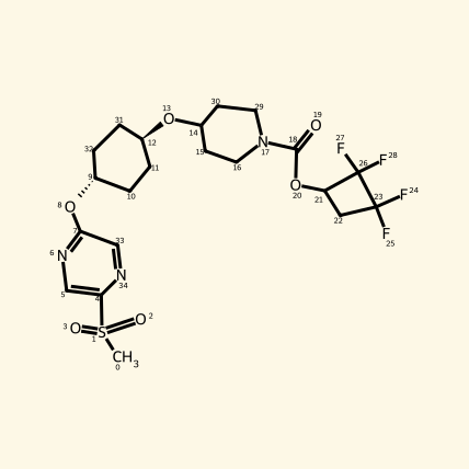 CS(=O)(=O)c1cnc(O[C@H]2CC[C@H](OC3CCN(C(=O)OC4CC(F)(F)C4(F)F)CC3)CC2)cn1